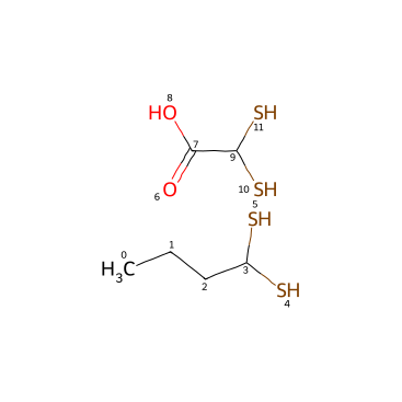 CCCC(S)S.O=C(O)C(S)S